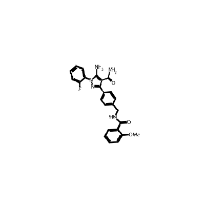 COc1ccccc1C(=O)NCc1ccc(-c2nn(-c3ccccc3F)c(N)c2C(N)=O)cc1